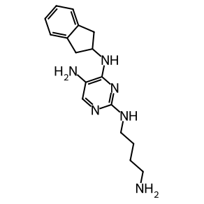 NCCCCNc1ncc(N)c(NC2Cc3ccccc3C2)n1